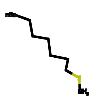 CCCCCCCCCCS[SiH3]